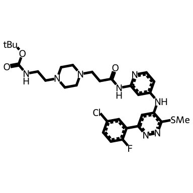 CSc1nnc(-c2cc(Cl)ccc2F)cc1Nc1ccnc(NC(=O)CCN2CCN(CCNC(=O)OC(C)(C)C)CC2)c1